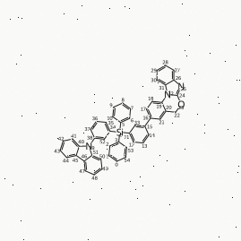 c1ccc([Si](c2ccccc2)(c2cccc(-c3ccc4c(c3)COc3nc5ccccc5n3-4)c2)c2cccc(-n3c4ccccc4c4ccccc43)c2)cc1